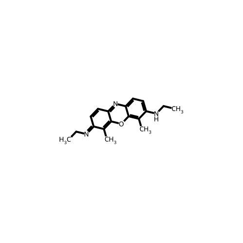 CC/N=c1\ccc2nc3ccc(NCC)c(C)c3oc-2c1C